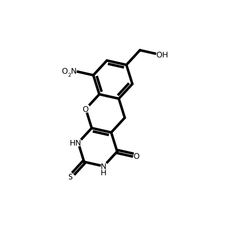 O=c1[nH]c(=S)[nH]c2c1Cc1cc(CO)cc([N+](=O)[O-])c1O2